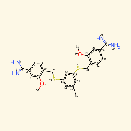 COc1cc(C(=N)N)ccc1CSc1cc(C)cc(SCc2ccc(C(=N)N)cc2OC)c1